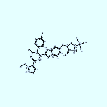 CC[C@@H](c1ccc(F)cc1)[C@H](NC(=O)c1ccnn1CC)c1cn2ncc(CC3C[C@@H](C(F)(F)F)NC3=O)cc2n1